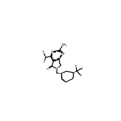 Nc1nc2c(c(C(F)F)n1)C(=O)N(C[C@@H]1CCC[C@H](C(F)(F)F)C1)C2